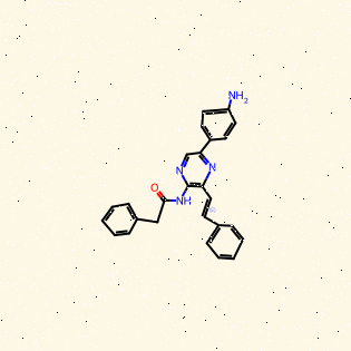 Nc1ccc(-c2cnc(NC(=O)Cc3ccccc3)c(/C=C/c3ccccc3)n2)cc1